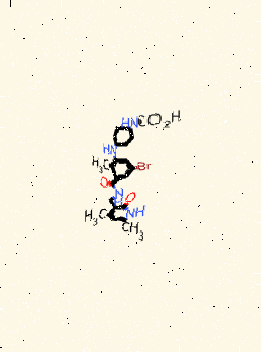 Cc1cc(C)c(CNC(=O)c2cc(Br)cc(NC3CCC(NC(=O)O)CC3)c2C)c(=O)[nH]1